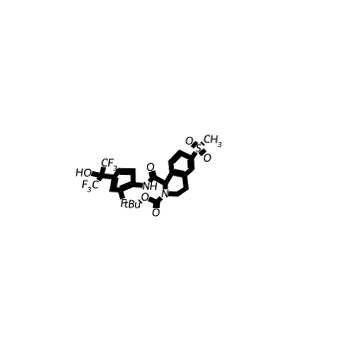 CC(C)(C)OC(=O)N1CCc2cc(S(C)(=O)=O)ccc2C1C(=O)Nc1ccc(C(O)(C(F)(F)F)C(F)(F)F)cc1F